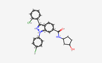 O=C(NC1CCC(O)C1)c1ccc2c(-c3ccccc3Cl)nn(-c3ccc(F)cc3)c2c1